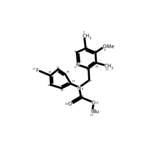 COc1c(C)cnc(CN(C(=O)OC(C)(C)C)c2ccc(F)cc2)c1C